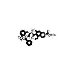 CC(C)(C)OC(=O)N1CCc2c(cc(Cl)c(C(=O)N[C@@H](Cc3cccc(S(C)(=O)=O)c3)C(=O)OCc3ccccc3)c2CI)C1